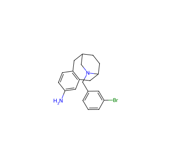 Nc1ccc2c(c1)CC1CCC(C2)CN1Cc1cccc(Br)c1